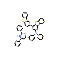 C1=C(c2ccccc2)NC(c2ccccc2)NC1c1ccc2c3ccccc3n(-c3cc(-c4ccc5sc6ccccc6c5c4)c4sc5ccccc5c4c3)c2c1